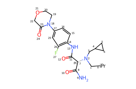 CC(C)CN(CC1CC1)[C@H](C(N)=O)C(=O)Nc1ccc(N2CCOCC2=O)cc1F